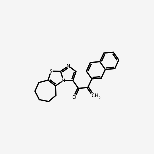 C=C(C(=O)c1cnc2sc3c(n12)CCCCC3)c1ccc2ccccc2c1